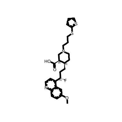 COc1ccc2nccc([C@@H](F)CC[C@@H]3CCN(CCCSc4cccs4)C[C@@H]3C(=O)O)c2c1